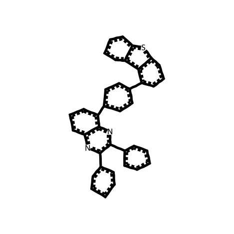 c1ccc(-c2nc3cccc(-c4ccc(-c5cccc6sc7ccccc7c56)cc4)c3nc2-c2ccccc2)cc1